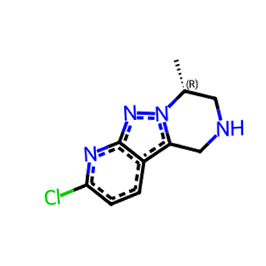 C[C@@H]1CNCc2c3ccc(Cl)nc3nn21